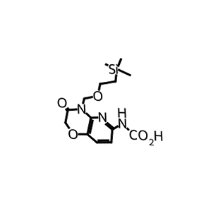 C[Si](C)(C)CCOCN1C(=O)COc2ccc(NC(=O)O)nc21